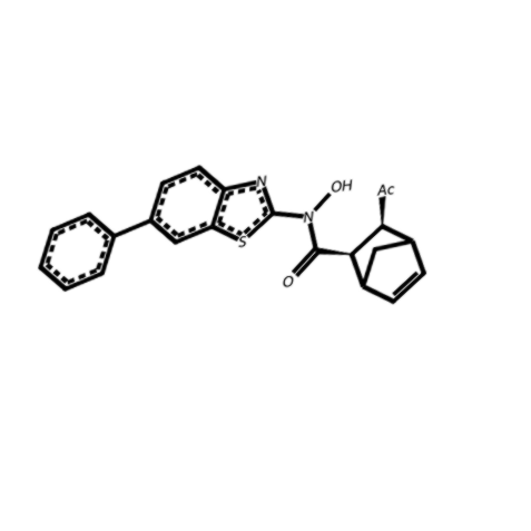 CC(=O)[C@H]1C2C=CC(C2)[C@H]1C(=O)N(O)c1nc2ccc(-c3ccccc3)cc2s1